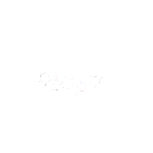 Cc1ccc(C2(C(=O)N3CCC(n4nc(-c5ccccc5)oc4=O)CC3)CC2)cc1